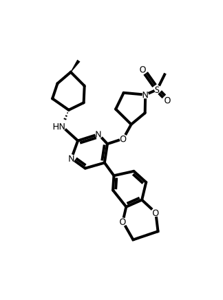 CS(=O)(=O)N1CCC(Oc2nc(N[C@H]3CC[C@H](C)CC3)ncc2-c2ccc3c(c2)OCCO3)C1